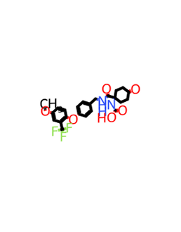 COc1ccc(Oc2ccc(CNC(=O)C3(NC(=O)O)CCC(=O)CC3)cc2)c(C(F)(F)F)c1